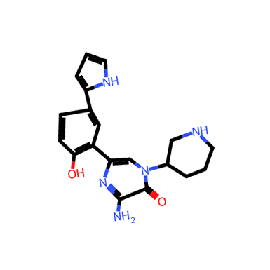 Nc1nc(-c2cc(-c3ccc[nH]3)ccc2O)cn(C2CCCNC2)c1=O